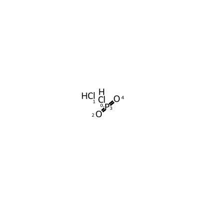 Cl.Cl.O=[P]=O